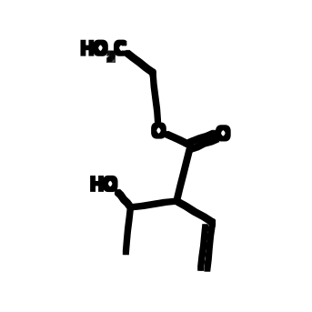 C=CC(C(=O)OCC(=O)O)C(C)O